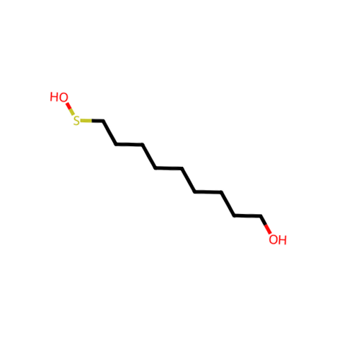 OCCCCCCCCCSO